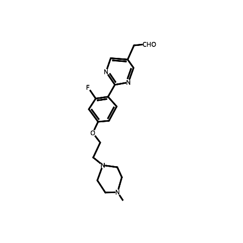 CN1CCN(CCOc2ccc(-c3ncc(CC=O)cn3)c(F)c2)CC1